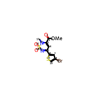 COC(=O)C1=CC(c2cc(Br)cs2)=NS(=O)(=O)N1C